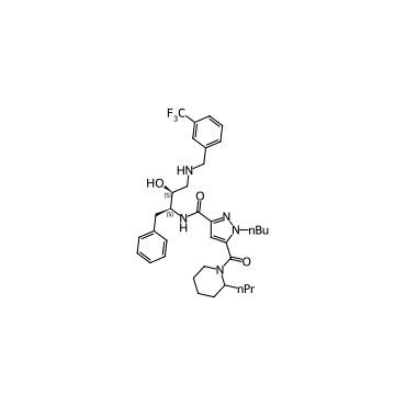 CCCCn1nc(C(=O)N[C@@H](Cc2ccccc2)[C@@H](O)CNCc2cccc(C(F)(F)F)c2)cc1C(=O)N1CCCCC1CCC